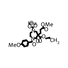 C=CCOC(=O)C1(CCC(=O)OC)CN(C(=O)OC(C)(C)C)CCN(C(=O)c2ccc(OC)cc2)C1=O